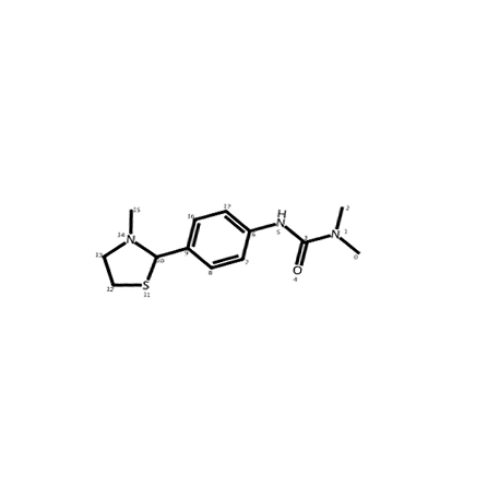 CN(C)C(=O)Nc1ccc(C2SCCN2C)cc1